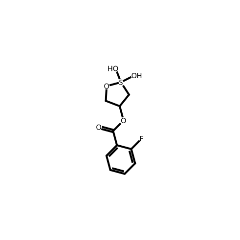 O=C(OC1COS(O)(O)C1)c1ccccc1F